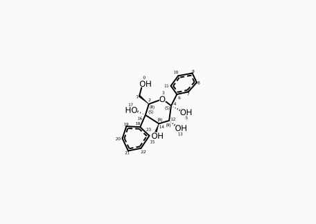 OC[C@H]1O[C@@](O)(c2ccccc2)[C@H](O)[C@@H](O)[C@@]1(O)c1ccccc1